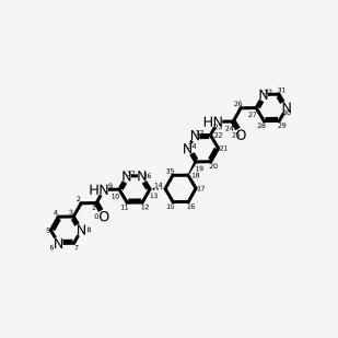 O=C(Cc1ccncn1)Nc1ccc([C@H]2CCC[C@H](c3ccc(NC(=O)Cc4ccncn4)nn3)C2)nn1